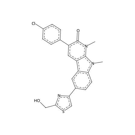 Cn1c(=O)c(-c2ccc(Cl)cc2)cc2c3cc(-c4csc(CO)n4)ccc3n(C)c21